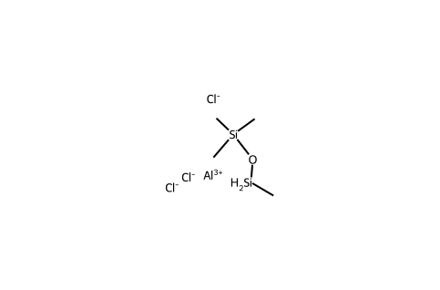 C[SiH2]O[Si](C)(C)C.[Al+3].[Cl-].[Cl-].[Cl-]